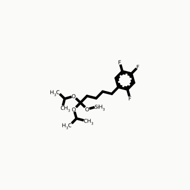 CC(C)OC(CCCCc1cc(F)c(F)cc1F)(O[SiH3])OC(C)C